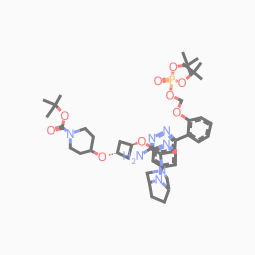 CC(C)(C)OC(=O)N1CCC(O[C@H]2C[C@H](Oc3cc(N4C5CCC4CN(c4cc(-c6ccccc6OCOP(=O)(OC(C)(C)C)OC(C)(C)C)nnc4N)C5)ccn3)C2)CC1